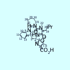 Cc1oc([C@@H](Cc2c[nH]c3ccccc23)NC(=O)[C@H](CC(C)C)N(C)C(=O)N2CCCCCC2)nc1C(=O)O